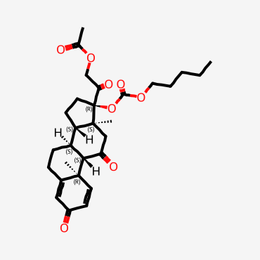 CCCCCOC(=O)O[C@]1(C(=O)COC(C)=O)CC[C@H]2[C@@H]3CCC4=CC(=O)C=C[C@]4(C)[C@H]3C(=O)C[C@@]21C